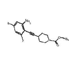 CC(C)(C)OC(=O)N1CCC(C#Cc2c(N)cc(Br)cc2F)CC1